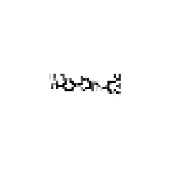 Nc1cc(-c2ncc(CNc3cc(F)nc(Cl)c3)cn2)ccc1Cl